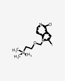 C[Si](C)(C)CCOCn1c(I)cc2c(Cl)nccc21